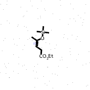 CCOC(=O)C/C=C(/C)O[Si](C)(C)C